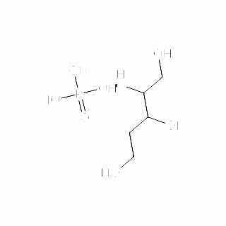 O=P(O)(O)O.OCCC(O)C(O)CO